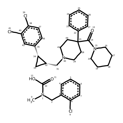 CN(Cc1ccccc1Cl)C(=O)O.O=C(N1CCCCC1)C1(c2ccccc2)CCN(C[C@@H]2C[C@@H]2c2ccc(Cl)c(Cl)c2)CC1